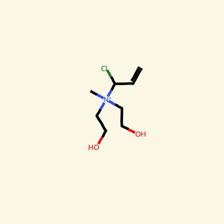 C=CC(Cl)[N+](C)(CCO)CCO